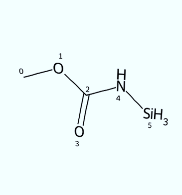 COC(=O)N[SiH3]